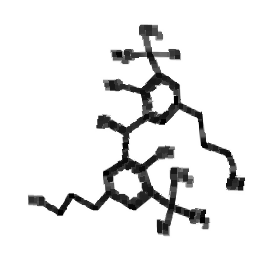 CCC(c1cc(CCCO)cc(C(C)(C)CC)c1O)c1cc(CCCO)cc(C(C)(C)CC)c1O